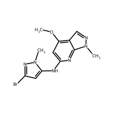 COc1cc(Nc2cc(Br)nn2C)nc2c1cnn2C